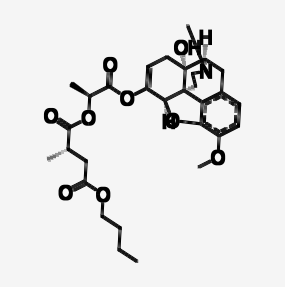 CCCCOC(=O)C[C@H](C)C(=O)O[C@@H](C)C(=O)OC1=CC[C@@]2(O)[C@H]3Cc4ccc(OC)c5c4[C@@]2(CCN3C)[C@H]1O5